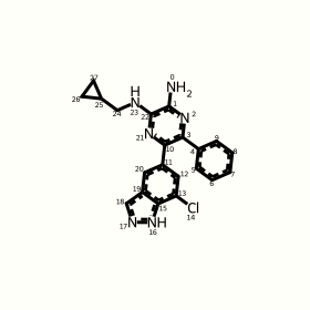 Nc1nc(-c2ccccc2)c(-c2cc(Cl)c3[nH]ncc3c2)nc1NCC1CC1